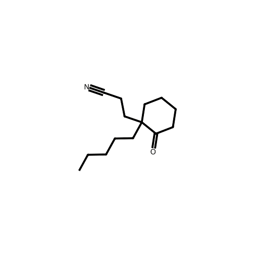 CCCCCC1(CCC#N)CCCCC1=O